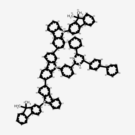 CC1(C)c2ccccc2-c2ccc(-n3c4ccccc4c4cc(-c5ccc6c7ccc(-c8ccc9c(c8)c8ccccc8n9-c8ccc9c(c8)C(C)(C)c8ccccc8-9)cc7n(-c7cccc(-c8nc(-c9ccccc9)cc(-c9ccc(-c%10ccccc%10)cc9)n8)c7)c6c5)ccc43)cc21